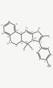 CC1=C(c2ccc(Br)cc2)N2C(=NC3c4ccccc4OCC3C2(C)C)S1